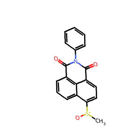 C[S+]([O-])c1ccc2c3c(cccc13)C(=O)N(c1ccccc1)C2=O